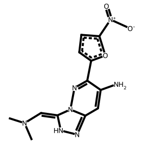 CN(C)C=C1NN=C2C=C(N)C(c3ccc([N+](=O)[O-])o3)=NN12